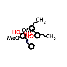 C=CCc1ccc(O)c(-c2cc(CC=C)ccc2O)c1.COc1cc(/C=C/c2ccccc2)cc(OC)c1O